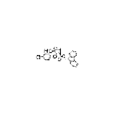 O=C(N[C@H](Oc1ccc(Cl)cc1)C(=O)O)OCC1c2ccccc2-c2ccccc21